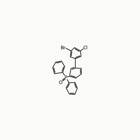 O=P(c1ccccc1)(c1ccccc1)c1cccc(-c2cc(Cl)cc(Br)c2)c1